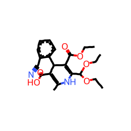 CCOC(=O)C1=C(C(OCC)OCC)NC(C)=C(C(=O)O)C1c1ccccc1C#N